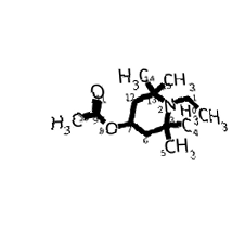 CCN1C(C)(C)CC(OC(C)=O)CC1(C)C